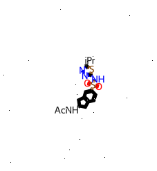 CC(=O)NC1Cc2ccc(S(=O)(=O)Nc3nnc(C(C)C)s3)cc2C1